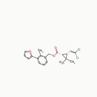 Cc1c(COC(=O)[C@@H]2[C@H](C=C(Cl)Cl)C2(C)C)cccc1-c1ccco1